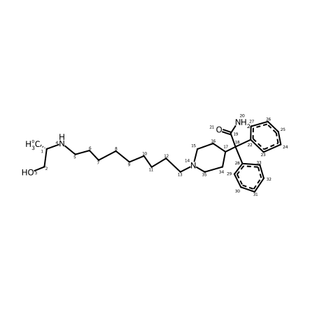 C[C@@H](CO)NCCCCCCCCCN1CCC(C(C(N)=O)(c2ccccc2)c2ccccc2)CC1